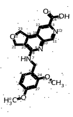 COc1ccc(CNc2nc3cnc(C(=O)O)cc3c3c2COC3)c(OC)c1